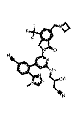 Cn1cnnc1-c1ccc(C#N)cc1-c1cc(NCC(O)CC#N)nc(N2Cc3c(cc(CN4CCC4)cc3C(F)(F)F)C2=O)c1